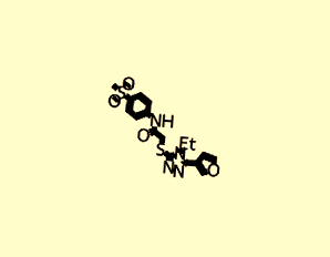 CCn1c(SCC(=O)Nc2ccc(S(C)(=O)=O)cc2)nnc1-c1ccoc1